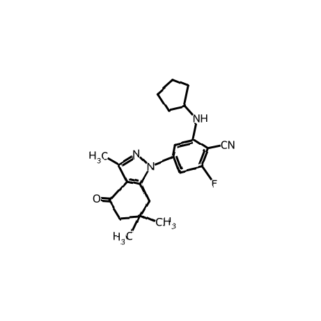 Cc1nn(-c2cc(F)c(C#N)c(NC3CCCC3)c2)c2c1C(=O)CC(C)(C)C2